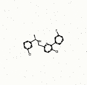 C[C@@H](NCc1ccc(Cl)c(-c2cccc(F)c2)n1)c1cccc(Cl)c1